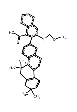 COCOc1cc2ccccc2c(C(=O)O)c1-c1ccc2c3c(ccc2c1)C1=C(CC(C)(C)C=C1)CC3(C)C